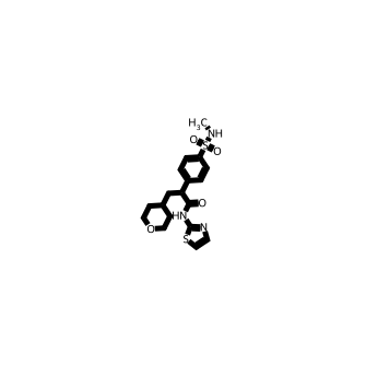 CNS(=O)(=O)c1ccc(C(CC2CCOCC2)C(=O)Nc2nccs2)cc1